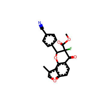 COC(=O)C1(F)C(=O)c2ccc3occ(C)c3c2OC1c1ccc(C#N)cc1